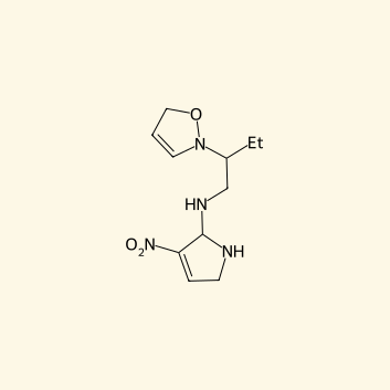 CCC(CNC1NCC=C1[N+](=O)[O-])N1C=CCO1